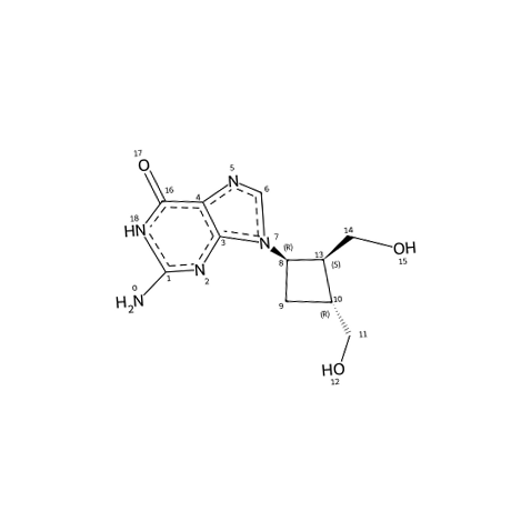 Nc1nc2c(ncn2[C@@H]2C[C@@H](CO)[C@@H]2CO)c(=O)[nH]1